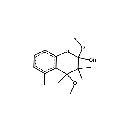 COC1(O)Oc2cccc(C)c2C(C)(OC)C1(C)C